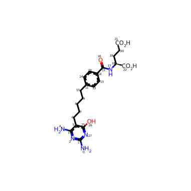 Nc1nc(N)c(CCCCCc2ccc(C(=O)N[C@@H](CCC(=O)O)C(=O)O)cc2)c(O)n1